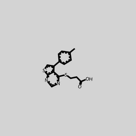 Cc1ccc(-c2csc3ncnc(SCCC(=O)O)c23)cc1